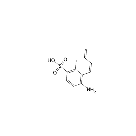 C=C/C=C\c1c(N)ccc(S(=O)(=O)O)c1C